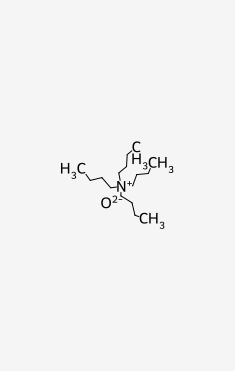 CCCC[N+](CCCC)(CCCC)CCCC.[O-2]